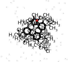 CC1=C(C)[C]([Ti+3])([Si](c2c([Si](C)(C)C)cc([Si](C)(C)C)c([Si](C)(C)C)c2C)(c2c([Si](C)(C)C)cc([Si](C)(C)C)c([Si](C)(C)C)c2C)c2c([Si](C)(C)C)cc([Si](C)(C)C)c([Si](C)(C)C)c2C)C(C)=C1C.[Cl-].[Cl-].[Cl-]